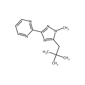 Cn1nc(-c2ncccn2)nc1CC(C)(C)C